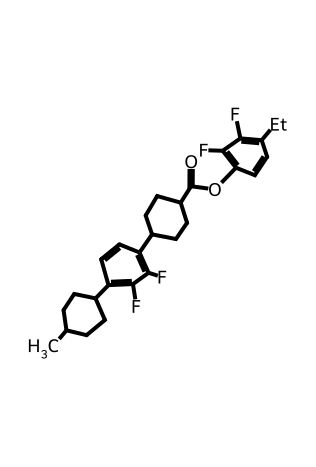 CCc1ccc(OC(=O)C2CCC(c3ccc(C4CCC(C)CC4)c(F)c3F)CC2)c(F)c1F